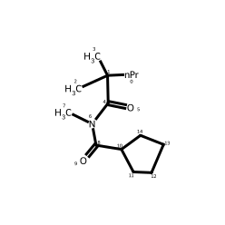 CCCC(C)(C)C(=O)N(C)C(=O)C1CCCC1